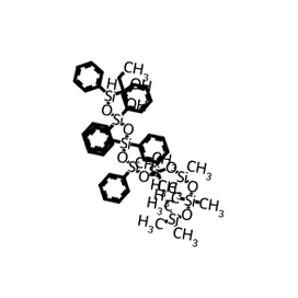 CCC(O)(O)[SiH](O[Si](O[Si](O[Si](C)(O[Si](C)(C)O[Si](C)(C)O[Si](C)(C)O[Si](C)(C)C)c1ccccc1)(c1ccccc1)c1ccccc1)(c1ccccc1)c1ccccc1)c1ccccc1